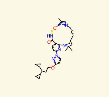 Cc1cn2nc1OSNC(=O)c1ccc(-n3ccc(OCCC(C4CC4)C4CC4)n3)nc1N1CC(CCC2)CC1(C)C